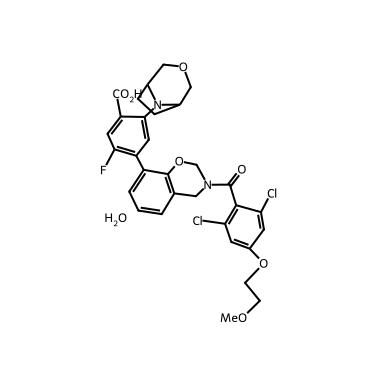 COCCOc1cc(Cl)c(C(=O)N2COc3c(cccc3-c3cc(N4C5CCC4COC5)c(C(=O)O)cc3F)C2)c(Cl)c1.O